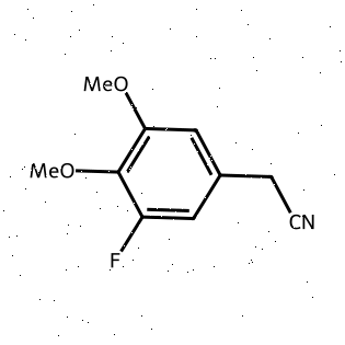 COc1cc(CC#N)cc(F)c1OC